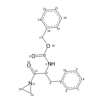 O=C(NC(Cc1ccccc1)C(=O)N1CC1)OCc1ccccc1